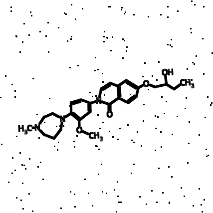 CCC(O)COc1ccc2c(=O)n(-c3ccc(N4CCCN(C)CC4)c(OC)c3)ccc2c1